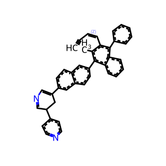 C#C/C=C\c1c(C)c(-c2ccc3cc(C4=CN=CC(c5ccncc5)C4)ccc3c2)c2ccccc2c1-c1ccccc1